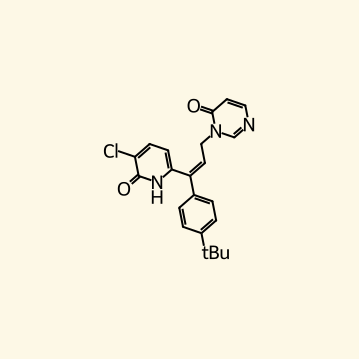 CC(C)(C)c1ccc(C(=CCn2cnccc2=O)c2ccc(Cl)c(=O)[nH]2)cc1